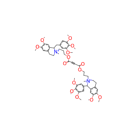 COc1cc2c(cc1OC)C(Cc1cc(OC)c(OC)c(OC)c1)[N+](C)(CCCOC(=O)C#CC(=O)OCCC[N+]1(C)CCc3cc(OC)c(OC)cc3C1c1cc(OC)c(OC)c(OC)c1)CC2